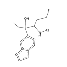 CCNC(CCF)C(O)(CF)c1ccc2ccoc2c1